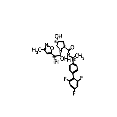 Cc1cc([C@@H](C(C)C)C(O)N2C[C@H](O)C[C@H]2C(=O)N[C@@H](C)c2ccc(-c3c(F)cc(F)cc3F)cc2)on1